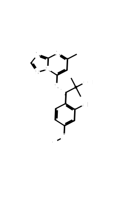 Cc1cc(N[C@@H](c2ccc(OC(F)(F)F)cc2Cl)C(C)(C)O)n2ncnc2n1